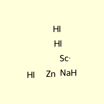 I.I.I.[NaH].[Sc].[Zn]